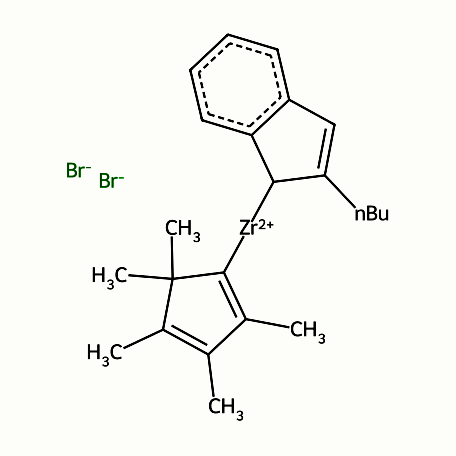 CCCCC1=Cc2ccccc2[CH]1[Zr+2][C]1=C(C)C(C)=C(C)C1(C)C.[Br-].[Br-]